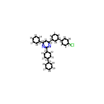 Clc1ccc(-c2cccc(-c3cc(-c4ccccc4)nc(-c4ccc(-c5ccccc5)cc4)n3)c2)cc1